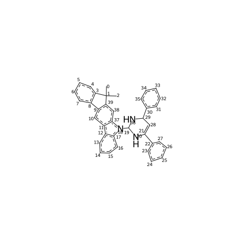 CC1(C)c2ccccc2-c2cc3c4ccccc4n(C4NC(c5ccccc5)=CC(c5ccccc5)N4)c3cc21